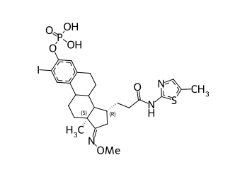 CON=C1C[C@@H](CCC(=O)Nc2ncc(C)s2)C2C3CCc4cc(OP(=O)(O)O)c(I)cc4C3CC[C@]12C